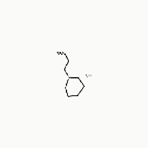 O=C([O-])CCN1CCCCC1.[Na+]